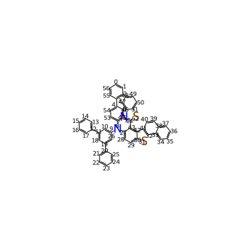 c1ccc(-c2ccc(N(c3cc(-c4ccccc4)cc(-c4ccccc4)c3)c3ccc4sc5c6ccccc6ccc5c4c3-c3nc4ccccc4s3)cc2)cc1